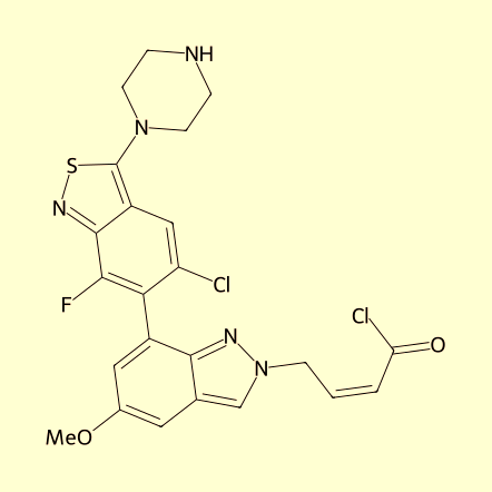 COc1cc(-c2c(Cl)cc3c(N4CCNCC4)snc3c2F)c2nn(C/C=C\C(=O)Cl)cc2c1